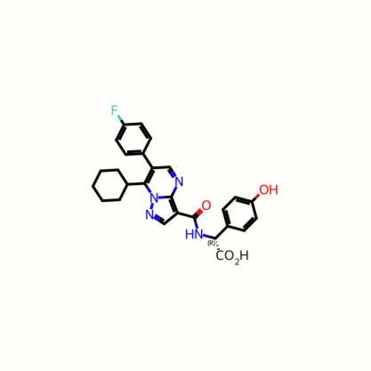 O=C(N[C@@H](C(=O)O)c1ccc(O)cc1)c1cnn2c(C3CCCCC3)c(-c3ccc(F)cc3)cnc12